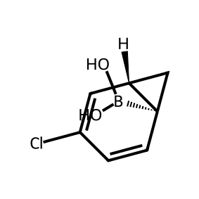 OB(O)[C@]12C=CC(Cl)=C[C@@H]1C2